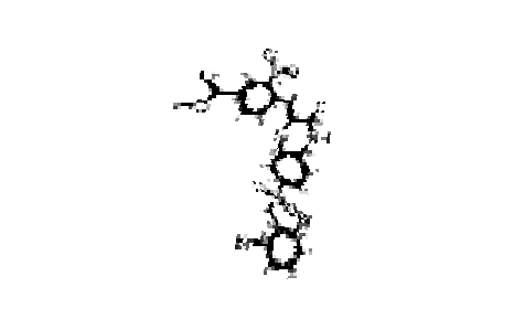 COC(=O)c1ccc(C=C2Sc3cc(S(=O)(=O)Cc4c(Br)cccc4Br)ccc3NC2=O)c([N+](=O)[O-])c1